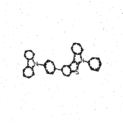 c1ccc(-n2c3ccccc3c3c4cc(-c5ccc(-n6c7ccccc7c7ccccc76)cc5)ccc4sc32)cc1